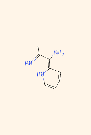 CC(=N)/C(N)=C1/C=CC=CN1